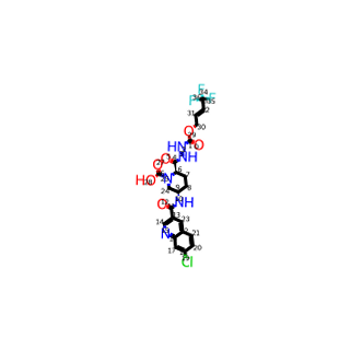 O=C(NNC(=O)[C@H]1CC[C@H](NC(=O)c2cnc3cc(Cl)ccc3c2)CN1C(=O)O)OC/C=C/C(F)(F)F